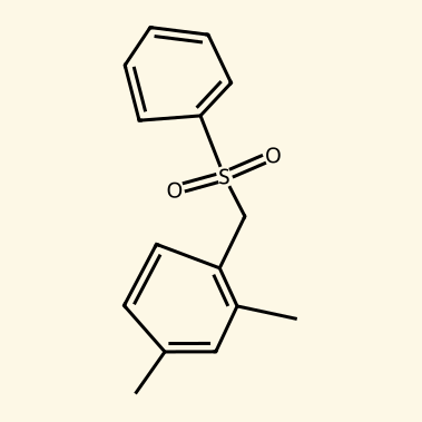 Cc1ccc(CS(=O)(=O)c2ccccc2)c(C)c1